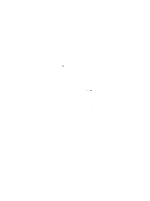 COc1c(OOC(=O)C2CCC2)cccc1-c1cc(=O)c2cccc(Cl)c2o1